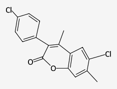 Cc1cc2oc(=O)c(-c3ccc(Cl)cc3)c(C)c2cc1Cl